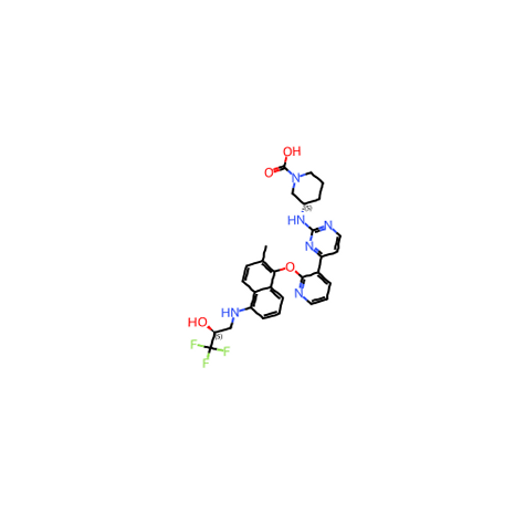 Cc1ccc2c(NC[C@H](O)C(F)(F)F)cccc2c1Oc1ncccc1-c1ccnc(N[C@H]2CCCN(C(=O)O)C2)n1